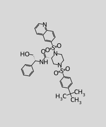 CC(C)(C)c1ccc(S(=O)(=O)N2CCN(S(=O)(=O)c3ccc4ncccc4c3)[C@@H](C(=O)N[C@@H](CO)c3ccccc3)C2)cc1